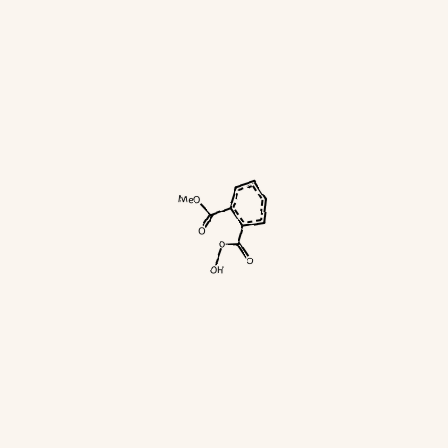 COC(=O)c1ccccc1C(=O)OO